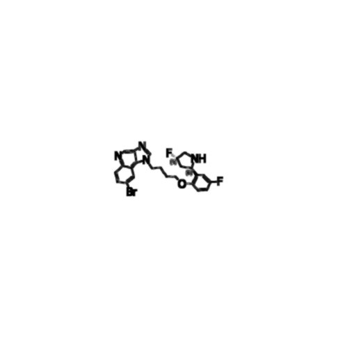 Fc1ccc(OCCCCn2cnc3cnc4ccc(Br)cc4c32)c([C@H]2C[C@H](F)CN2)c1